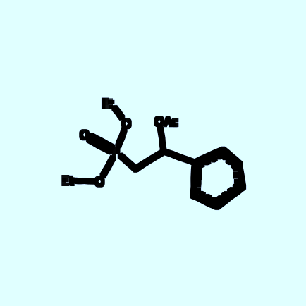 CCOP(=O)(CC(OC(C)=O)c1ccccc1)OCC